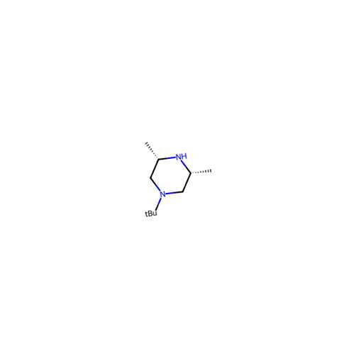 C[C@@H]1CN(C(C)(C)C)C[C@H](C)N1